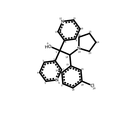 OC(c1cccnc1)(c1cccnc1)C(c1cccc(Cl)c1)N1CCCC1